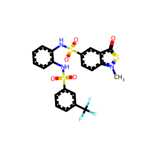 Cn1sc(=O)c2cc(S(=O)(=O)Nc3ccccc3NS(=O)(=O)c3cccc(C(F)(F)F)c3)ccc21